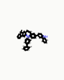 CC1(C)c2ccccc2-c2cc3c(cc21)C=Cc1cc(-c2ccc4[nH]c5ccccc5c4c2)ccc1N3c1ccc(-c2ccccc2)cc1